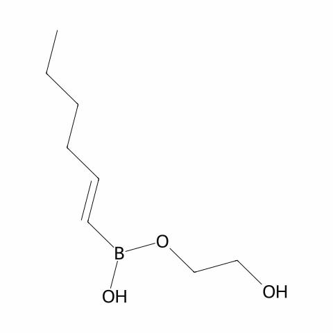 CCCCC=CB(O)OCCO